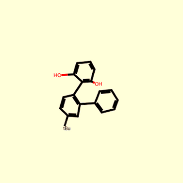 CC(C)(C)c1ccc(-c2c(O)cccc2O)c(-c2ccccc2)c1